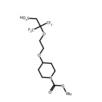 CC(C)(C)OC(=O)N1CCC(OCCOC(CS(=O)(=O)O)(C(F)(F)F)C(F)(F)F)CC1